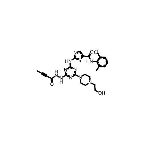 CC#CC(=O)NNc1nc(Nc2ncc(C(=O)Nc3c(C)cccc3Cl)s2)nc(N2CCN(CCO)CC2)n1